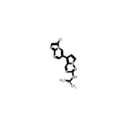 C[C@@H](Nc1ncc2c(-c3cnc4ncc(Cl)n4c3)ccn2n1)C(F)(F)F